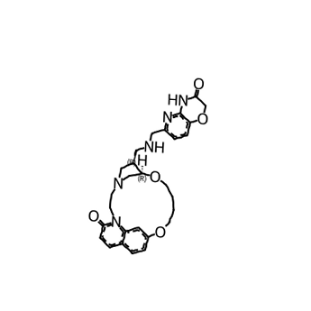 O=C1COc2ccc(CNC[C@@H]3CN4CCn5c(=O)ccc6ccc(cc65)OCCCCO[C@H]3C4)nc2N1